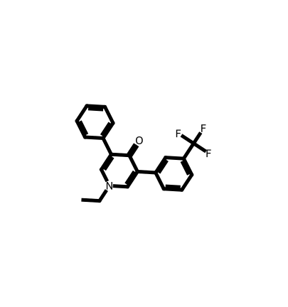 CCn1cc(-c2ccccc2)c(=O)c(-c2cccc(C(F)(F)F)c2)c1